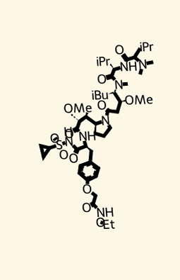 CCONC(=O)COc1ccc(C[C@H](NC(=O)[C@H](C)[C@@H](OC)[C@@H]2CCCN2C(=O)C[C@@H](OC)[C@H]([C@@H](C)CC)N(C)C(=O)[C@@H](NC(=O)C(C(C)C)N(C)C)C(C)C)C(=O)NS(=O)(=O)C2CC2)cc1